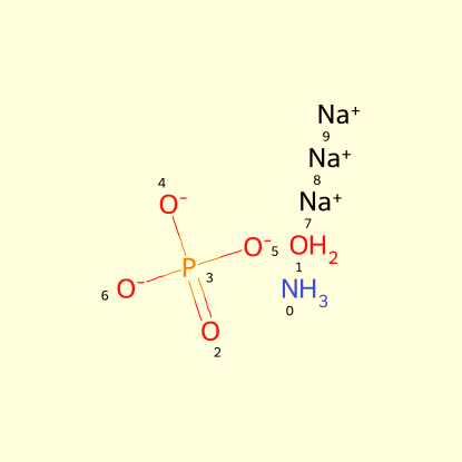 N.O.O=P([O-])([O-])[O-].[Na+].[Na+].[Na+]